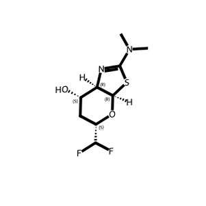 CN(C)C1=N[C@H]2[C@H](O[C@H](C(F)F)C[C@@H]2O)S1